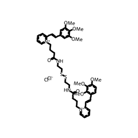 COc1cc(C=Cc2cccc[n+]2CCCC(=O)NCCSSCCNC(=O)CCC[n+]2ccccc2C=Cc2ccc(OC)c(OC)c2OC)cc(OC)c1OC.[Cl-].[Cl-]